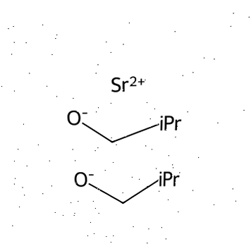 CC(C)C[O-].CC(C)C[O-].[Sr+2]